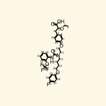 CCOC(Cc1ccc(OCCN(CCCCOc2ccc(F)cc2)C(=O)Nc2ccccc2OC(F)(F)F)cc1)C(=O)O